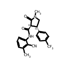 Cc1cccc(NC(=O)[C@H]2C(=O)N(C)C[C@@H]2c2ccc(C(F)(F)F)cc2)c1C#N